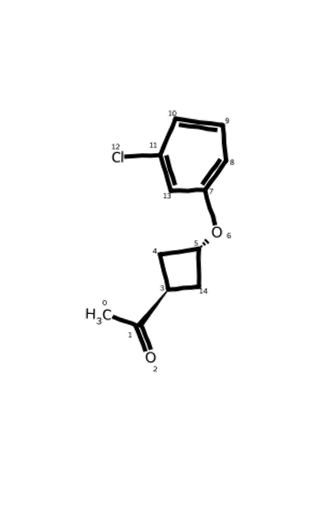 CC(=O)[C@H]1C[C@H](Oc2cccc(Cl)c2)C1